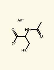 CC(=O)NC(CS)C(=O)[O-].[Au+]